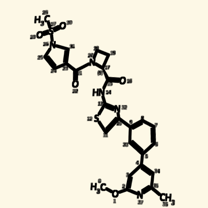 COc1cc(-c2cccc(-c3csc(NC(=O)[C@@H]4CCN4C(=O)c4ccn(S(C)(=O)=O)c4)n3)c2)cc(C)n1